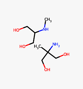 CC(N)(CO)CO.CNC(CO)CO